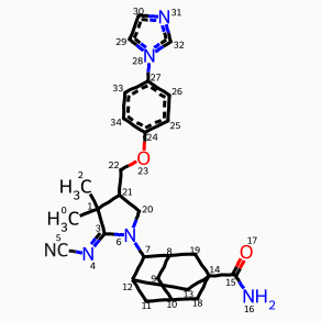 CC1(C)C(=NC#N)N(C2C3CC4CC2CC(C(N)=O)(C4)C3)CC1COc1ccc(-n2ccnc2)cc1